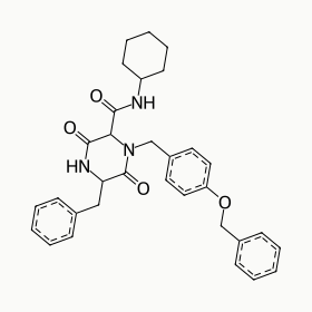 O=C(NC1CCCCC1)C1C(=O)NC(Cc2ccccc2)C(=O)N1Cc1ccc(OCc2ccccc2)cc1